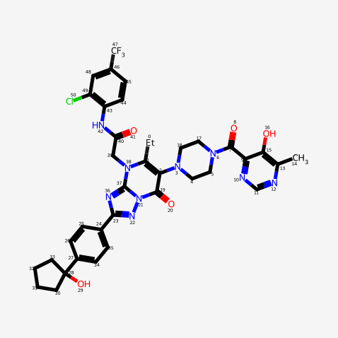 CCc1c(N2CCN(C(=O)c3ncnc(C)c3O)CC2)c(=O)n2nc(-c3ccc(C4(O)CCCC4)cc3)nc2n1CC(=O)Nc1ccc(C(F)(F)F)cc1Cl